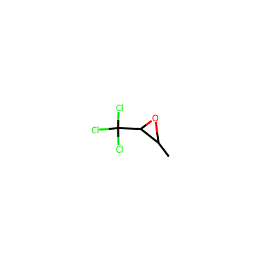 CC1OC1C(Cl)(Cl)Cl